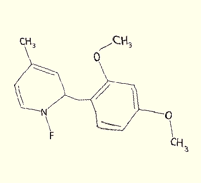 COc1ccc(C2C=C(C)C=CN2F)c(OC)c1